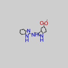 COC(=O)c1ccc2[nH]cc(CNc3nc4ccccc4[nH]3)c2c1